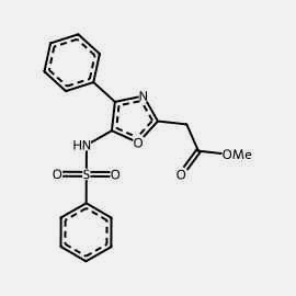 COC(=O)Cc1nc(-c2ccccc2)c(NS(=O)(=O)c2ccccc2)o1